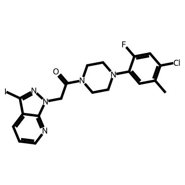 Cc1cc(N2CCN(C(=O)Cn3nc(I)c4cccnc43)CC2)c(F)cc1Cl